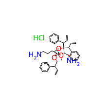 C=CC(CO[Si](CCCN)(OC)OC(CCN)(C(C=C)c1ccccc1)C(C=C)c1ccccc1)c1ccccc1.Cl